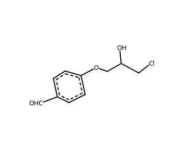 O=Cc1ccc(OCC(O)CCl)cc1